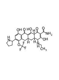 CCN[C@@H]1C(O)=C(C(N)=O)C(=O)[C@H]2C(O)=C3C(=O)c4c(O)cc(C5CCCN5)c(OC(F)(F)F)c4C[C@H]3C[C@H]21